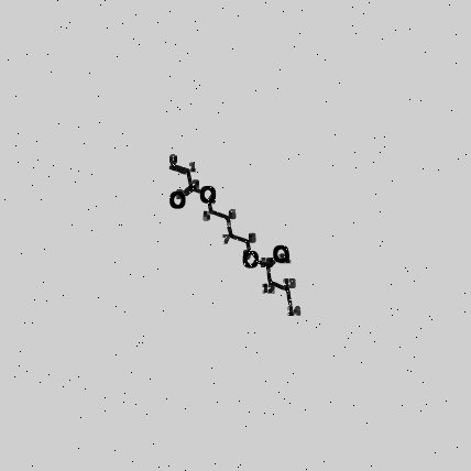 C=CC(=O)OCCCCOC(=O)CCC